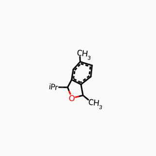 Cc1ccc2c(c1)C(C(C)C)OC2C